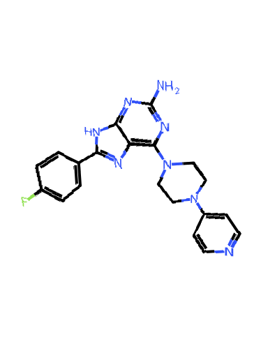 Nc1nc(N2CCN(c3ccncc3)CC2)c2nc(-c3ccc(F)cc3)[nH]c2n1